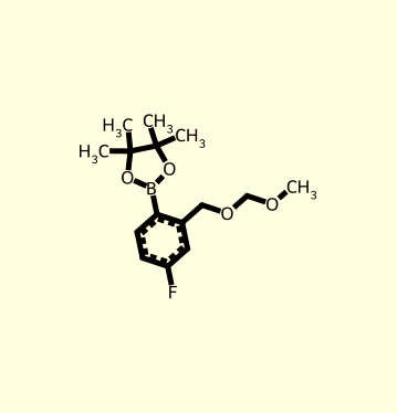 COCOCc1cc(F)ccc1B1OC(C)(C)C(C)(C)O1